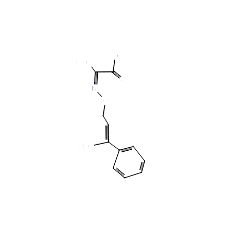 C/C(=N/OC/C=C(\C)c1ccccc1)C(=O)O